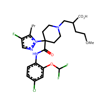 COCCC(CN1CCC(C(=O)Nc2ccc(Cl)cc2OC(F)F)(n2ncc(F)c2C(C)C)CC1)C(=O)O